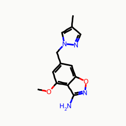 COc1cc(Cn2cc(C)cn2)cc2onc(N)c12